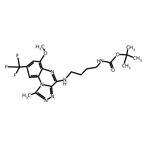 COc1cc(C(F)(F)F)cc2c1nc(NCCCCNC(=O)OC(C)(C)C)c1nnc(C)n12